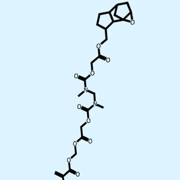 C=C(C)C(=O)OCOC(=O)COC(=O)N(C)CN(C)C(=O)OCC(=O)OCC1CCC2C3CC4OC4(C3)C12